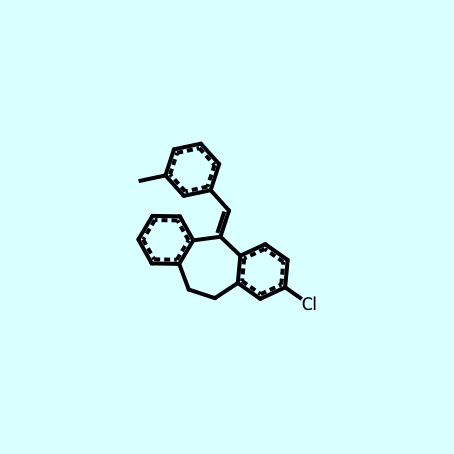 Cc1cccc(/C=C2\c3ccccc3CCc3cc(Cl)ccc32)c1